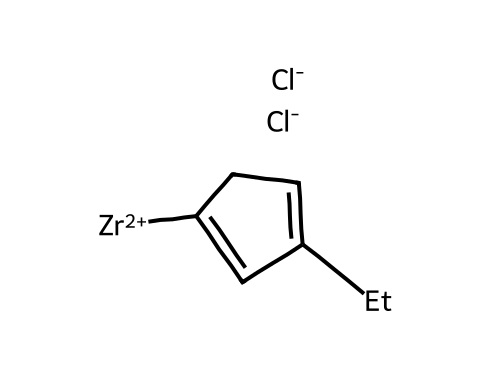 CCC1=CC[C]([Zr+2])=C1.[Cl-].[Cl-]